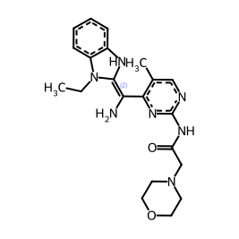 CCN1/C(=C(\N)c2nc(NC(=O)CN3CCOCC3)ncc2C)Nc2ccccc21